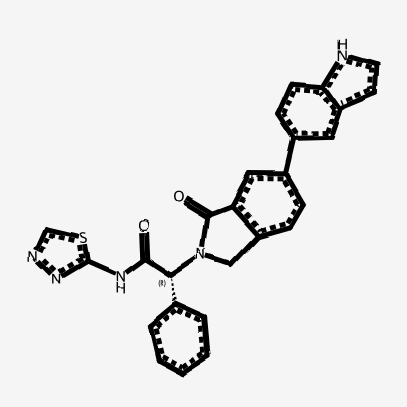 O=C(Nc1nncs1)[C@@H](c1ccccc1)N1Cc2ccc(-c3ccc4[nH]ccc4c3)cc2C1=O